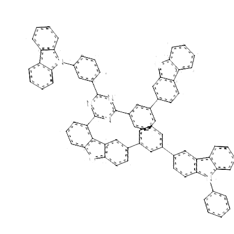 c1ccc(-n2c3ccccc3c3cc(-c4cccc(-c5ccc6oc7cccc(-c8nc(-c9cccc(-c%10ccc%11c(c%10)oc%10ccccc%10%11)c9)nc(-c9cccc(-n%10c%11ccccc%11c%11ccccc%11%10)c9)n8)c7c6c5)c4)ccc32)cc1